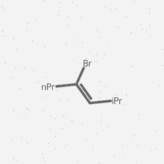 [CH2]CCC(Br)=CC(C)C